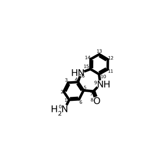 Nc1ccc2c(c1)C(=O)Nc1ccccc1N2